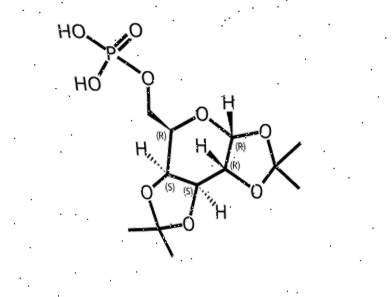 CC1(C)O[C@H]2[C@@H](O1)[C@@H](COP(=O)(O)O)O[C@@H]1OC(C)(C)O[C@@H]12